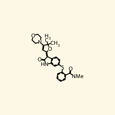 CNC(=O)c1ccccc1Sc1ccc2c(c1)NC(=O)C2=C1C=C(N2CCOCC2)C(C)(C)O1